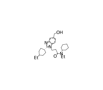 CCN(C(=O)CCn1c2ccc(CO)cc2nc1[C@H]1CC[C@H](CC)CC1)C1CCCCC1